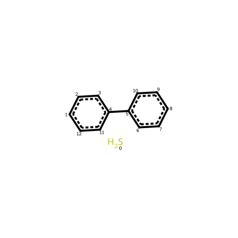 S.c1ccc(-c2ccccc2)cc1